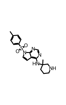 Cc1ccc(S(=O)(=O)n2ccc3c(NC4(C)CCCNC4)ncnc32)cc1